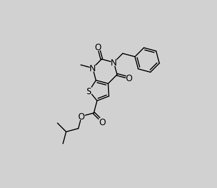 CC(C)COC(=O)c1cc2c(=O)n(Cc3ccccc3)c(=O)n(C)c2s1